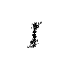 COC(=O)N[C@H](C(=O)N1CCCCC1c1nc(-c2ccc3cc(-c4ccc(-c5c[nH]c([C@@H]6CCCCN6C(=O)[C@@H](NC(=O)O)C(C)C)n5)cc4)ccc3c2)c[nH]1)C(C)C